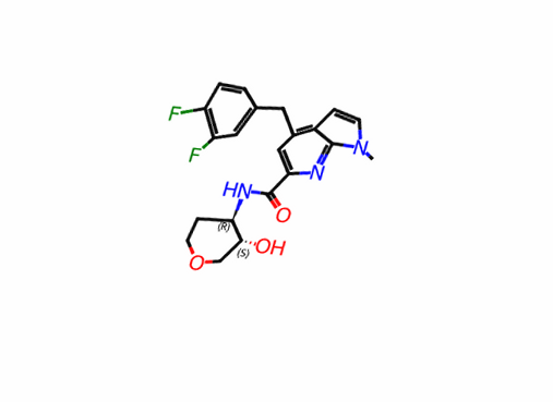 Cn1ccc2c(Cc3ccc(F)c(F)c3)cc(C(=O)N[C@@H]3CCOC[C@H]3O)nc21